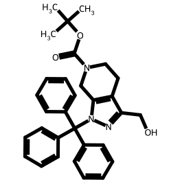 CC(C)(C)OC(=O)N1CCc2c(CO)nn(C(c3ccccc3)(c3ccccc3)c3ccccc3)c2C1